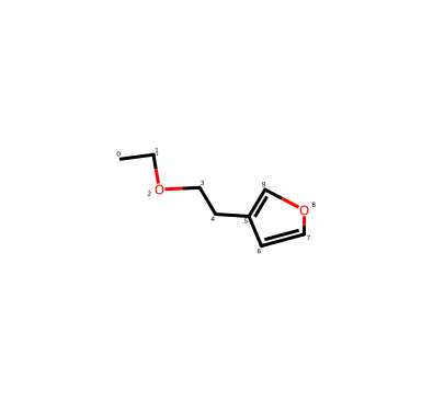 C[CH]OCCc1ccoc1